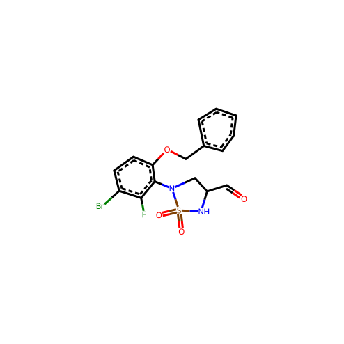 O=CC1CN(c2c(OCc3ccccc3)ccc(Br)c2F)S(=O)(=O)N1